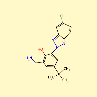 CC(C)(C)c1cc(CN)c(O)c(-n2nc3ccc(Cl)cc3n2)c1